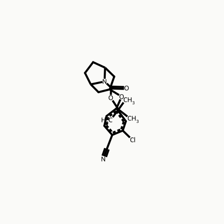 CC(C)(C)OC(=O)N1C2CCC1CC(Oc1ccc(C#N)c(Cl)c1)C2